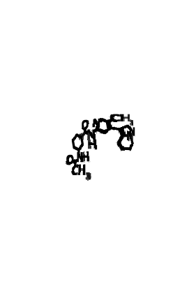 CC(=O)NC1CCC[C@@H](C(=O)Nc2cc(-c3cnn4c3CCCC4)c(C)cn2)C1